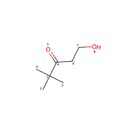 CC(C)(C)C(=O)[CH]CO